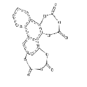 O=C1OC(=O)Oc2cc(cc3c2c2c(c4ccccc43)OC(=O)OC(=O)O2)O1